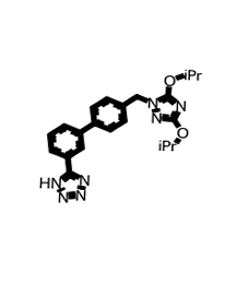 CC(C)Oc1nc(OC(C)C)n(Cc2ccc(-c3cccc(-c4nnn[nH]4)c3)cc2)n1